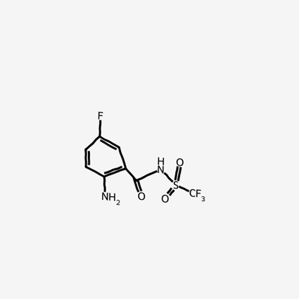 Nc1ccc(F)cc1C(=O)NS(=O)(=O)C(F)(F)F